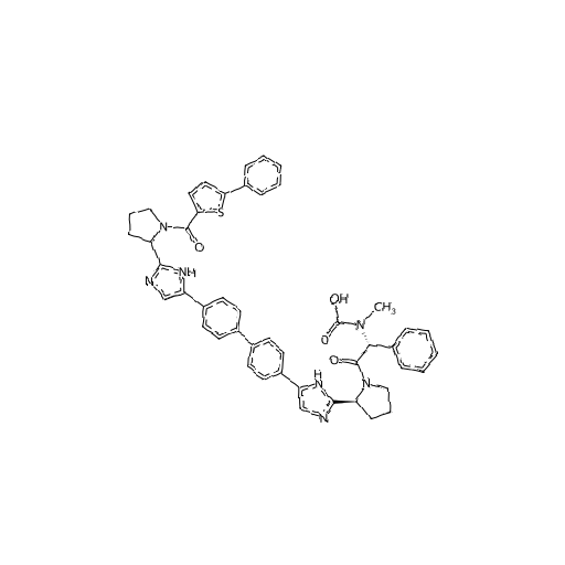 CN(C(=O)O)[C@@H](C(=O)N1CCC[C@H]1c1ncc(-c2ccc(-c3ccc(-c4cnc(C5CCCN5C(=O)c5ccc(-c6ccccc6)s5)[nH]4)cc3)cc2)[nH]1)c1ccccc1